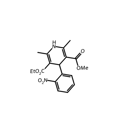 CCOC(=O)C1=C(C)NC(C)=C(C(=O)OC)C1c1ccccc1[N+](=O)[O-]